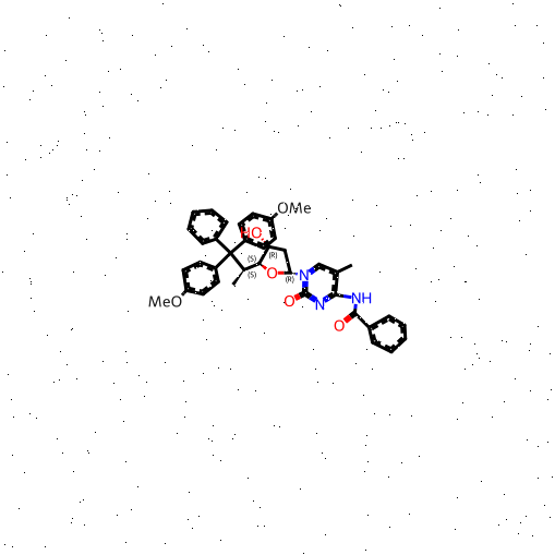 COc1ccc(C(c2ccccc2)(c2ccc(OC)cc2)[C@H](C)[C@@H]2O[C@@H](n3cc(C)c(NC(=O)c4ccccc4)nc3=O)C[C@H]2O)cc1